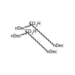 CCCCCCCCCCCCCCCCCCCCCCCCCCCCC(CCCCCCCCCCCCCC)C(=O)O.CCCCCCCCCCCCCCCCCCCCCCCCCCCCCCC(CCCCCCCCCCCCCC)C(=O)O